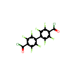 O=C(Cl)c1c(F)c(F)c(-c2c(F)c(F)c(C(=O)Cl)c(F)c2F)c(F)c1F